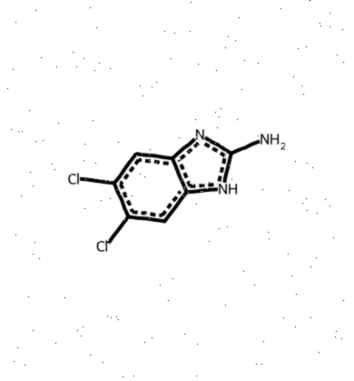 Nc1nc2cc(Cl)c(Cl)cc2[nH]1